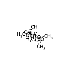 CCC[Si](OC)(OC)OC.CCC[Si](OCC)(OCC)OCC